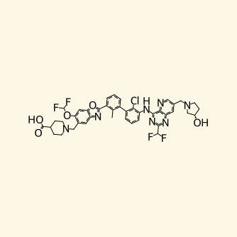 Cc1c(-c2nc3cc(CN4CCC(C(=O)O)CC4)c(OC(F)F)cc3o2)cccc1-c1cccc(Nc2nc(C(F)F)nc3cc(CN4CC[C@@H](O)C4)cnc23)c1Cl